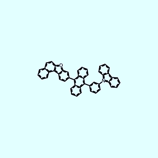 c1cc(-c2c3ccccc3c(-c3ccc4c(c3)oc3ccc5ccccc5c34)c3ccccc23)cc(-n2c3ccccc3c3ccccc32)c1